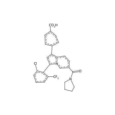 O=C(O)c1ccc(-c2cc(-c3c(Cl)cccc3C(F)(F)F)n3cc(C(=O)N4CCCC4)ccc23)cc1